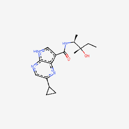 CC[C@](C)(O)[C@H](C)NC(=O)c1c[nH]c2ncc(C3CC3)nc12